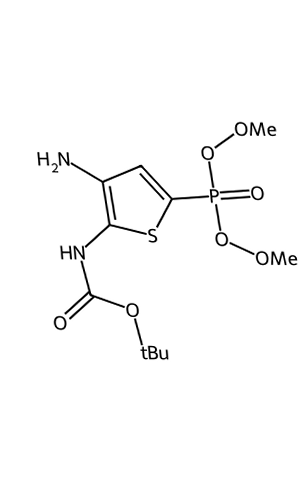 COOP(=O)(OOC)c1cc(N)c(NC(=O)OC(C)(C)C)s1